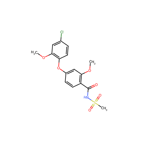 COc1cc(Cl)ccc1Oc1ccc(C(=O)NS(C)(=O)=O)c(OC)c1